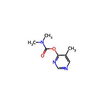 Cc1cncnc1OC(=O)N(C)C